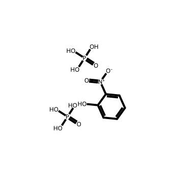 O=P(O)(O)O.O=P(O)(O)O.O=[N+]([O-])c1ccccc1O